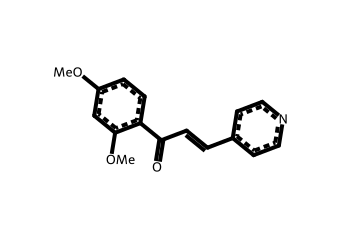 COc1ccc(C(=O)/C=C/c2ccncc2)c(OC)c1